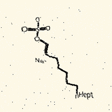 CCCCCCCCCCCC/C=C/OS(=O)(=O)[O-].[Na+]